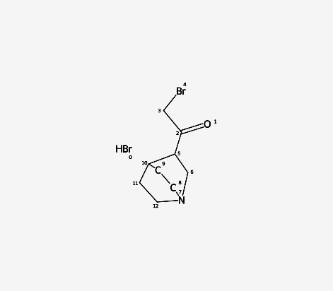 Br.O=C(CBr)C1CN2CCC1CC2